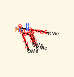 COCCOCCOCCOCCOCC(COCCOCCOCCOCCOC)OC(=O)NCCCCC(NC(=O)OC(COCCOCCOCCOCCOC)COCCOCCOCCOCCOC)C(=O)/B=N/P